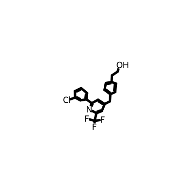 OCCc1ccc(Cc2cc(-c3cccc(Cl)c3)nc(C(F)(F)F)c2)cc1